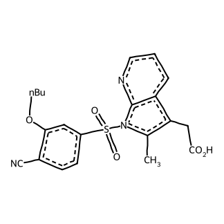 CCCCOc1cc(S(=O)(=O)n2c(C)c(CC(=O)O)c3cccnc32)ccc1C#N